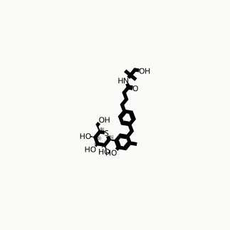 Cc1cc(O)c([C@@H]2S[C@H](CO)[C@@H](O)[C@H](O)[C@H]2O)cc1Cc1ccc(CCCC(=O)NC(C)(C)CO)cc1